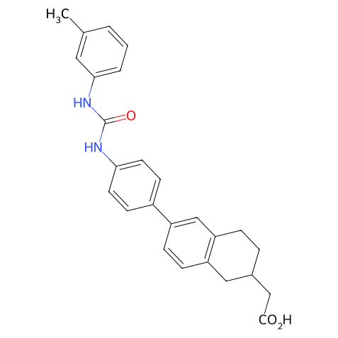 Cc1cccc(NC(=O)Nc2ccc(-c3ccc4c(c3)CCC(CC(=O)O)C4)cc2)c1